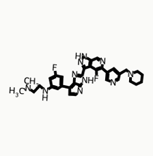 CN(C)CCNc1cc(F)cc(-c2ccnc3[nH]c(-c4n[nH]c5cnc(-c6cncc(CN7CCCCC7)c6)c(F)c45)nc23)c1